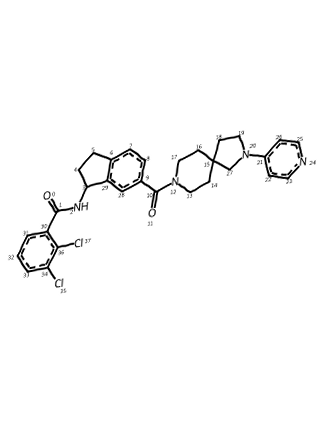 O=C(NC1CCc2ccc(C(=O)N3CCC4(CC3)CCN(c3ccncc3)C4)cc21)c1cccc(Cl)c1Cl